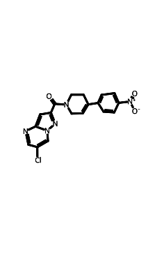 O=C(c1cc2ncc(Cl)cn2n1)N1CC=C(c2ccc([N+](=O)[O-])cc2)CC1